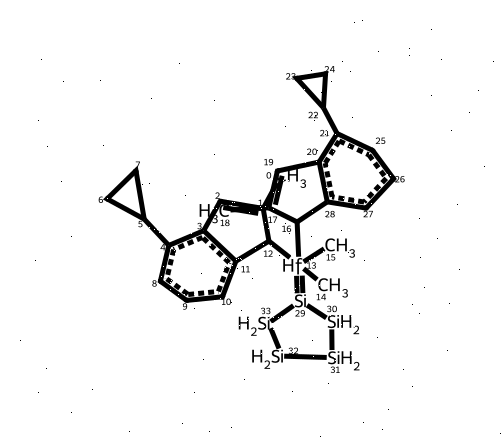 CC1=Cc2c(C3CC3)cccc2[CH]1[Hf]([CH3])([CH3])([CH]1C(C)=Cc2c(C3CC3)cccc21)=[Si]1[SiH2][SiH2][SiH2][SiH2]1